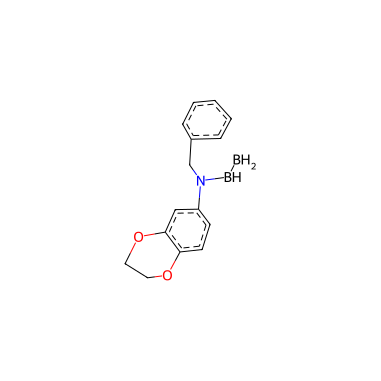 BBN(Cc1ccccc1)c1ccc2c(c1)OCCO2